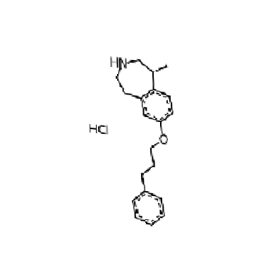 C[C@@H]1CNCCc2cc(OCCCc3ccccc3)ccc21.Cl